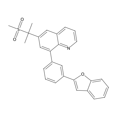 CC(C)(c1cc(-c2cccc(-c3cc4ccccc4o3)c2)c2ncccc2c1)S(C)(=O)=O